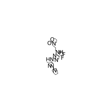 Cc1nn(C2CC3CCC(C2)N3C)cc1Nc1ncc(C(F)(F)F)c(NCCCN2CCCOC2=O)n1